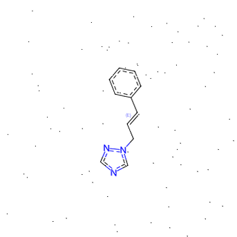 C(=C\c1ccccc1)/Cn1cncn1